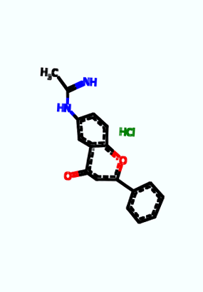 CC(=N)Nc1ccc2oc(-c3ccccc3)cc(=O)c2c1.Cl